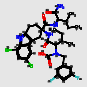 CC[C@H](C)C(NC(=O)[C@@]1(NC(=O)C([C@@H](C)CC)N(Cc2cc(F)cc(F)c2)C(=O)O)CCc2[nH]c3c(Cl)cc(Cl)cc3c2C1)C(N)=O